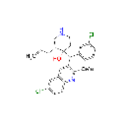 C=CCC1CNCCC1(O)C(c1cccc(Cl)c1)c1cc2cc(Cl)ccc2nc1OC